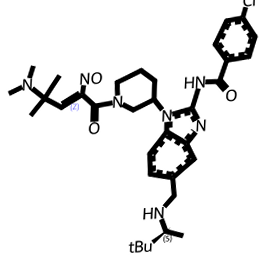 C[C@H](NCc1ccc2c(c1)nc(NC(=O)c1ccc(Cl)cc1)n2C1CCCN(C(=O)/C(=C/C(C)(C)N(C)C)N=O)C1)C(C)(C)C